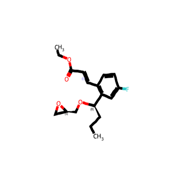 CCC[C@@H](OC[C@H]1CO1)c1cc(F)ccc1/C=C/C(=O)OCC